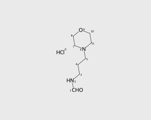 Cl.O=CNCCCN1CCOCC1